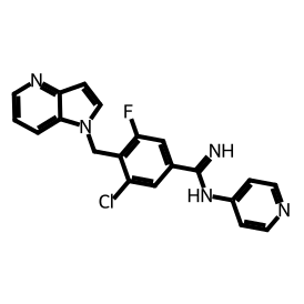 N=C(Nc1ccncc1)c1cc(F)c(Cn2ccc3ncccc32)c(Cl)c1